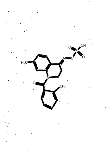 Cc1ccc2c(c1)N(C(=O)c1ccccc1C)CC/C2=N\OS(=O)(=O)O